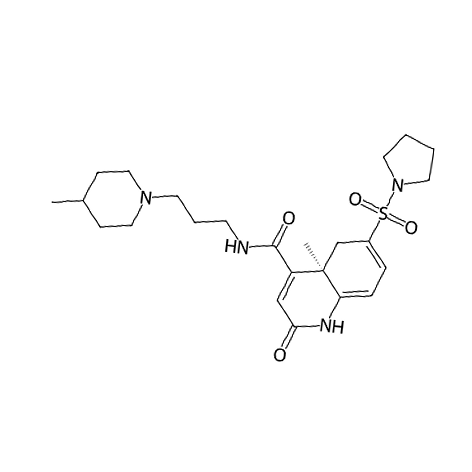 CC1CCN(CCCNC(=O)C2=CC(=O)NC3=CC=C(S(=O)(=O)N4CCCC4)C[C@@]32C)CC1